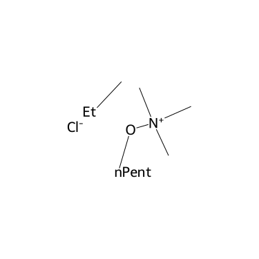 CCC.CCCCCO[N+](C)(C)C.[Cl-]